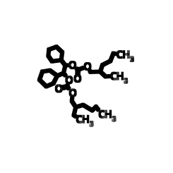 CCCCC(CC)COC(=O)OC(C1CCCCC1)C(OC(=O)OCC(CC)CCCC)C1CCCCC1